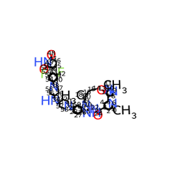 Cc1cc2cc(n1)-c1cnn(C)c1OCCC[C@@H](C)CN1/C(=N/C2=O)Nc2ccc(N3CCC(NC4CCN(c5cc(F)c([C@H]6CCC(=O)NC6=O)c(F)c5)CC4)CC3)cc21